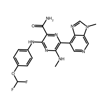 CNc1nc(Nc2ccc(OC(F)F)cc2)c(C(N)=O)nc1-c1cncc2c1ncn2C